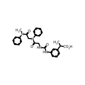 CC(C(=O)O)c1cccc(NC(=O)NCC(=O)N(CC(=O)N(C)c2ccccc2)c2ccccc2)c1